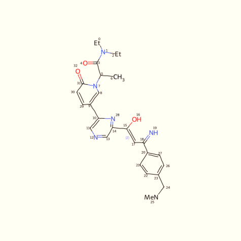 CCN(CC)C(=O)C(C)n1cc(-c2cncc(/C(O)=C/C(=N)c3ccc(CNC)cc3)n2)ccc1=O